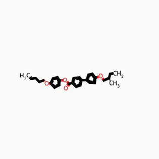 C=CCCCOc1ccc(OC(=O)c2ccc(-c3ccc(OC[C@@H](C)CC)cc3)cc2)cc1